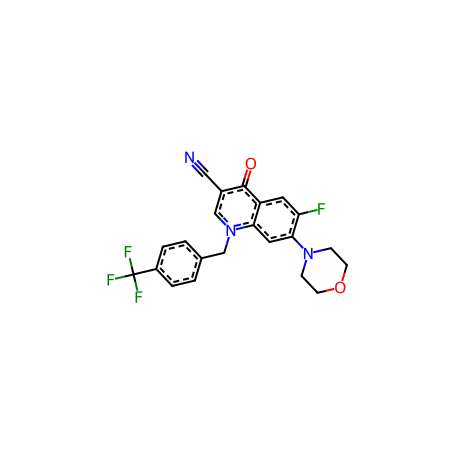 N#Cc1cn(Cc2ccc(C(F)(F)F)cc2)c2cc(N3CCOCC3)c(F)cc2c1=O